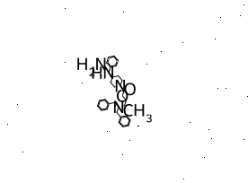 C[C@@H](COC(=O)N1CCC(Nc2ccccc2N)CC1)N(Cc1ccccc1)Cc1ccccc1